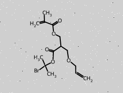 C=CCOCC(COC(=O)C(=C)C)C(=O)OC(C)(C)Br